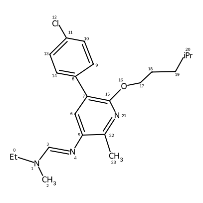 CCN(C)C=Nc1cc(-c2ccc(Cl)cc2)c(OCCCC(C)C)nc1C